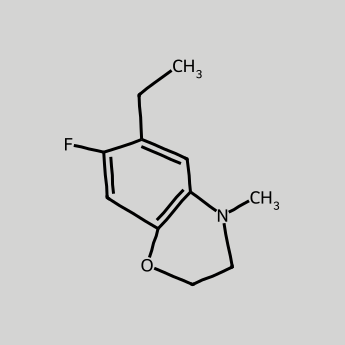 CCc1cc2c(cc1F)OCCN2C